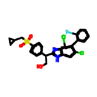 O=S(=O)(CC1CC1)c1ccc(C(CO)c2nc3c(Cl)c(-c4ccccc4F)c(Cl)cc3[nH]2)cc1